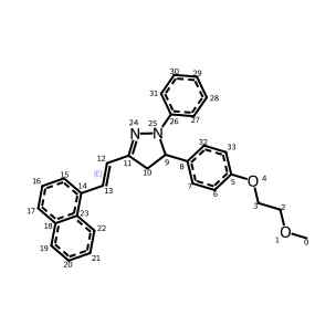 COCCOc1ccc(C2CC(/C=C/c3cccc4ccccc34)=NN2c2ccccc2)cc1